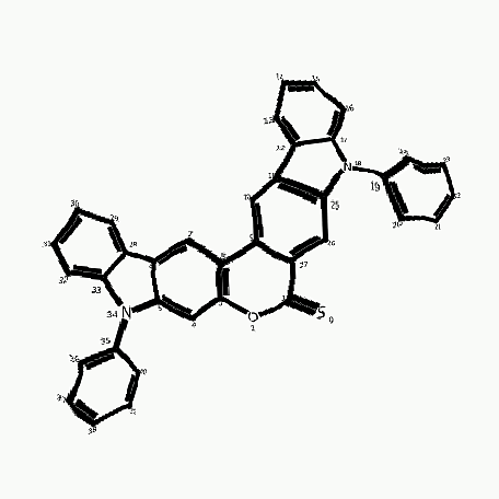 S=c1oc2cc3c(cc2c2cc4c5ccccc5n(-c5ccccc5)c4cc12)c1ccccc1n3-c1ccccc1